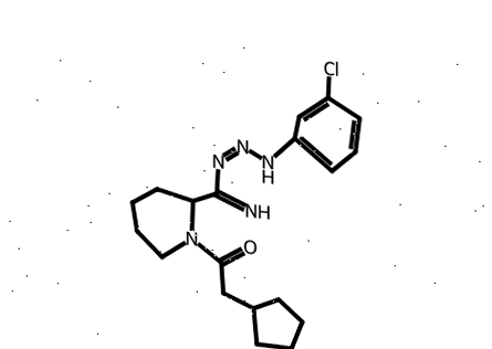 N=C(/N=N\Nc1cccc(Cl)c1)C1CCCCN1C(=O)CC1CCCC1